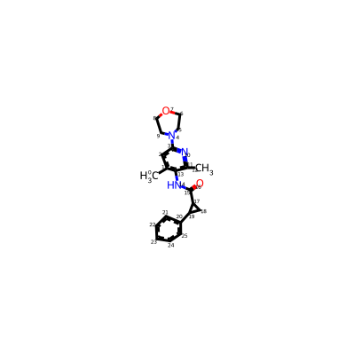 Cc1cc(N2CCOCC2)nc(C)c1NC(=O)C1CC1c1ccccc1